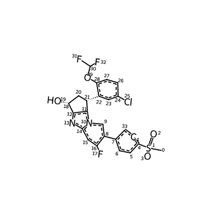 CS(=O)(=O)c1ccc(-c2cn3c4c(nc3cc2F)[C@H](O)C[C@@H]4c2cc(Cl)ccc2OC(F)F)cc1